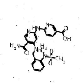 CN(c1ccccc1CNc1cc(Nc2ccc(C(=O)O)cn2)ncc1C(N)=O)S(C)(=O)=O